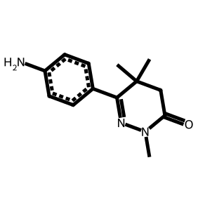 CN1N=C(c2ccc(N)cc2)C(C)(C)CC1=O